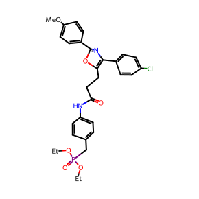 CCOP(=O)(Cc1ccc(NC(=O)CCc2oc(-c3ccc(OC)cc3)nc2-c2ccc(Cl)cc2)cc1)OCC